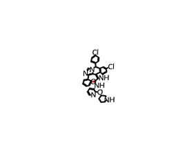 O=C(Nc1cccnc1OC1CCCNC1)c1[nH]c2cc(Cl)cc3c2c1-c1c(-c2ccccc2)ncn1C3c1ccc(Cl)cc1